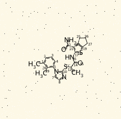 Cc1cccc(-n2ccnc2SC(C)C(=O)Nc2sc3c(c2C(N)=O)CCC3)c1C